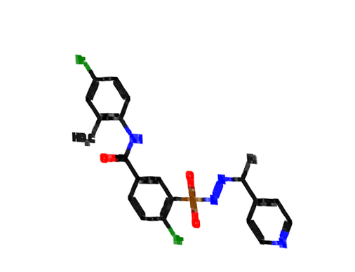 CCC(N=NS(=O)(=O)c1cc(C(=O)Nc2ccc(Br)cc2C(=O)O)ccc1Br)c1ccncc1